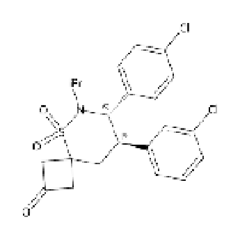 CC(C)N1[C@H](c2ccc(Cl)cc2)[C@@H](c2cccc(Cl)c2)CC2(CC(=O)C2)S1(=O)=O